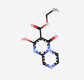 CCOC(=O)c1c(O)nc2cnccn2c1=O